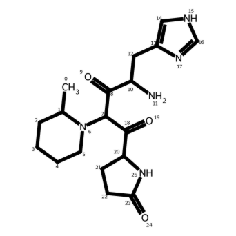 CC1CCCCN1C(C(=O)C(N)Cc1c[nH]cn1)C(=O)C1CCC(=O)N1